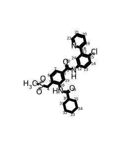 CS(=O)(=O)Cc1ccc(C(=O)Nc2ccc(Cl)c(-c3ccccn3)c2)cc1NC(=O)C1CCCCC1